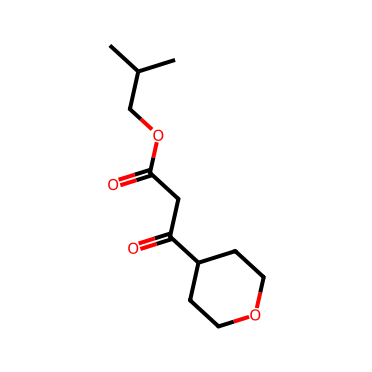 CC(C)COC(=O)CC(=O)C1CCOCC1